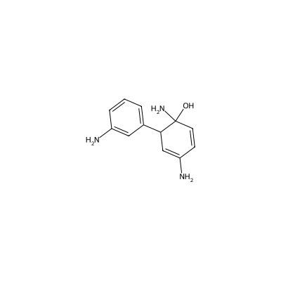 NC1=CC(c2cccc(N)c2)C(N)(O)C=C1